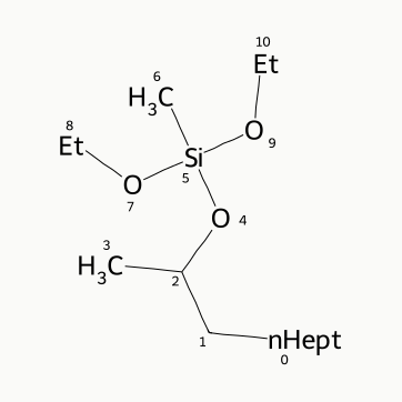 CCCCCCCCC(C)O[Si](C)(OCC)OCC